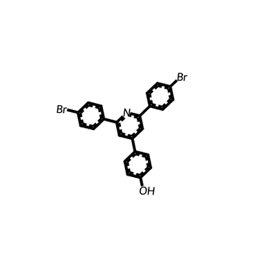 Oc1ccc(-c2cc(-c3ccc(Br)cc3)nc(-c3ccc(Br)cc3)c2)cc1